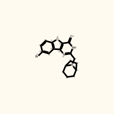 O=c1[nH]c(CN2C3CCCC2CC3)nc2c1oc1ccc(Br)cc12